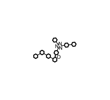 c1ccc(-c2ccc(-c3nc(-c4ccccc4)nc(-c4ccc5c(c4)oc4cccc(-c6ccc(-c7cccc(-c8ccccc8)c7)cc6)c45)n3)cc2)cc1